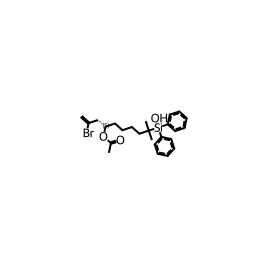 C=C(Br)C[C@H](CCCCC(C)(C)[Si](O)(c1ccccc1)c1ccccc1)OC(C)=O